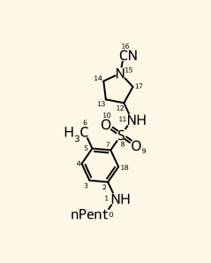 CCCCCNc1ccc(C)c(S(=O)(=O)NC2CCN(C#N)C2)c1